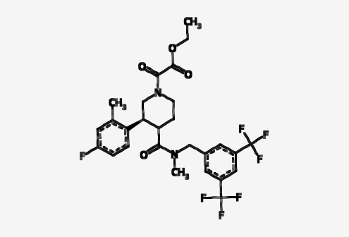 CCOC(=O)C(=O)N1CCC(C(=O)N(C)Cc2cc(C(F)(F)F)cc(C(F)(F)F)c2)[C@@H](c2ccc(F)cc2C)C1